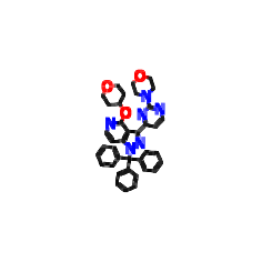 c1ccc(C(c2ccccc2)(c2ccccc2)n2nc(-c3ccnc(N4CCOCC4)n3)c3c(OC4CCOCC4)nccc32)cc1